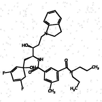 CCCN(CCC)C(=O)c1cc(C)cc(C(=O)N[C@@H](CC2(O)C=C(F)C=C(F)C2)[C@@H](O)CCN2CCc3ccccc32)c1